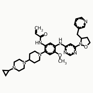 C=CC(=O)Nc1cc(Nc2cc(N3OCCC3Cc3cccnc3)ncn2)c(OC)cc1N1CCC(N2CCN(C3CC3)CC2)CC1